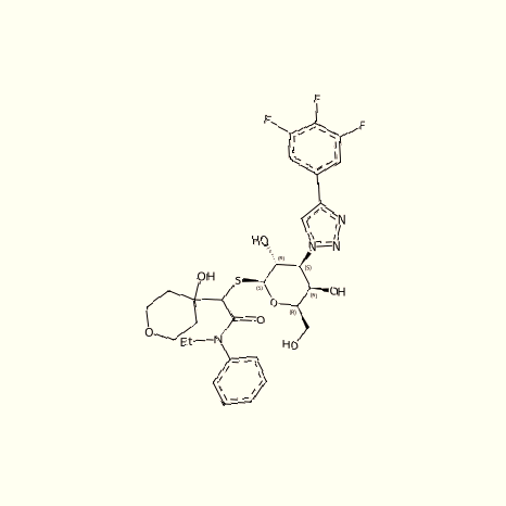 CCN(C(=O)C(S[C@@H]1O[C@H](CO)[C@H](O)[C@H](n2cc(-c3cc(F)c(F)c(F)c3)nn2)[C@H]1O)C1(O)CCOCC1)c1ccccc1